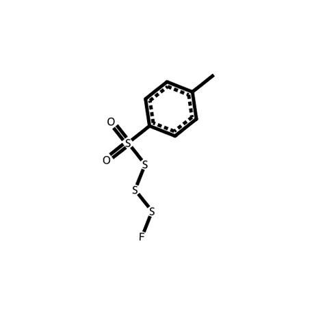 Cc1ccc(S(=O)(=O)SSSF)cc1